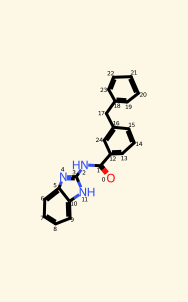 O=C(Nc1nc2ccccc2[nH]1)c1cccc(Cc2ccccc2)c1